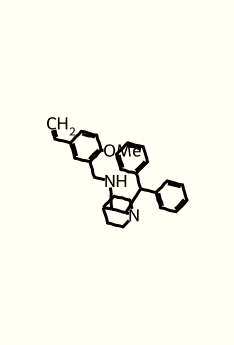 C=Cc1ccc(OC)c(CNC2C3CCN(CC3)C2C(c2ccccc2)c2ccccc2)c1